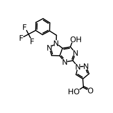 O=C(O)c1cnn(-c2nc(O)c3c(cnn3Cc3cccc(C(F)(F)F)c3)n2)c1